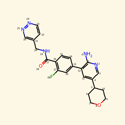 Nc1ncc(C2CCOCC2)cc1-c1ccc(C(=O)NCc2ccnnc2)c(F)c1